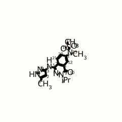 Cc1cc(Nc2nn(C(C)C)c(=O)c3cc(N(C)S(C)(=O)=O)ccc23)n[nH]1